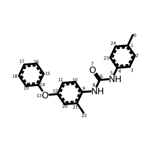 Cc1ccc(NC(=O)Nc2ccc(Oc3ccccc3)cc2C)cc1